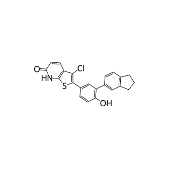 O=c1ccc2c(Cl)c(-c3ccc(O)c(-c4ccc5c(c4)CCC5)c3)sc2[nH]1